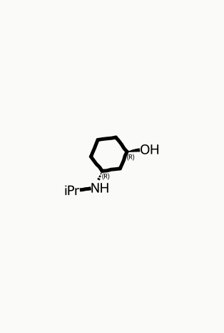 CC(C)N[C@@H]1CCC[C@@H](O)C1